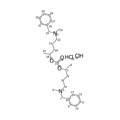 CC(CCCN(C)Cc1ccccc1)OC(=O)OC(C)CCCN(C)Cc1ccccc1.Cl.Cl